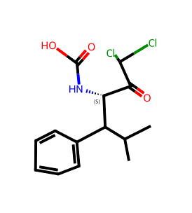 CC(C)C(c1ccccc1)[C@H](NC(=O)O)C(=O)C(Cl)Cl